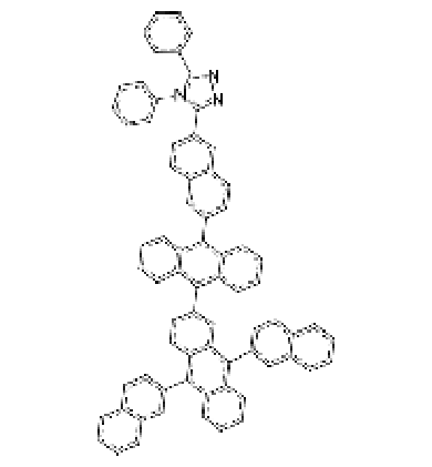 c1ccc(-c2nnc(-c3ccc4cc(-c5c6ccccc6c(-c6ccc7c(-c8ccc9ccccc9c8)c8ccccc8c(-c8ccc9ccccc9c8)c7c6)c6ccccc56)ccc4c3)n2-c2ccccc2)cc1